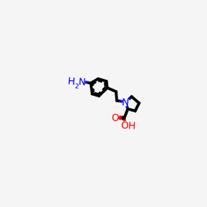 Nc1ccc(CCN2CCCC2C(=O)O)cc1